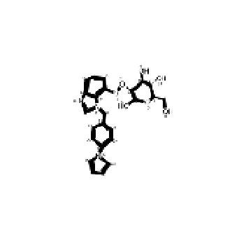 OC[C@H]1OC(O)[C@H](OOc2cccc3ncn(Cc4ccc(-n5cccc5)cc4)c23)[C@@H](O)[C@@H]1O